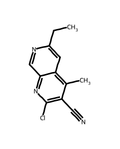 CCc1cc2c(C)c(C#N)c(Cl)nc2cn1